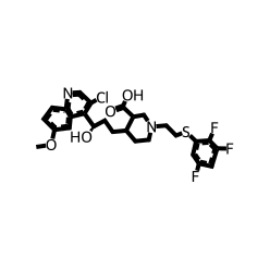 COc1ccc2ncc(Cl)c([C@H](O)CCC3CCN(CCSc4cc(F)cc(F)c4F)CC3C(=O)O)c2c1